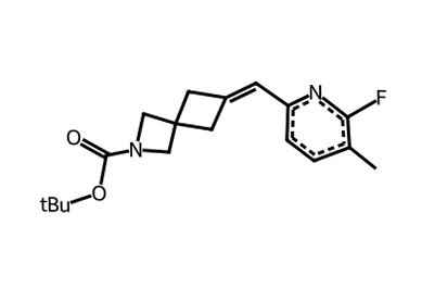 Cc1ccc(C=C2CC3(C2)CN(C(=O)OC(C)(C)C)C3)nc1F